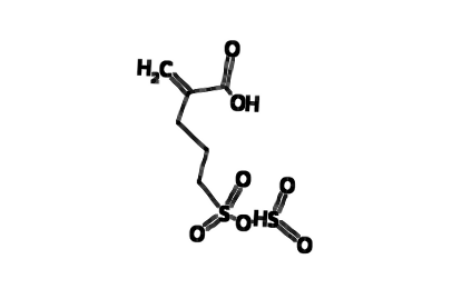 C=C(CCCS(=O)(=O)O[SH](=O)=O)C(=O)O